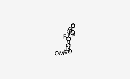 CO[C@@H](C)C(=O)N1CCN(c2ccc(CN3[C@@H](C)CCC(c4ccccc4)S3(=O)=O)c(F)c2)CC1